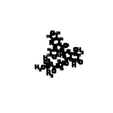 Cc1cc(=O)[nH]c2c(OC3CN(C(=O)OC(C)(C)C)C3)cc(NC(=O)c3cc4c(nc3N3CCOCC3)COC4)cc12